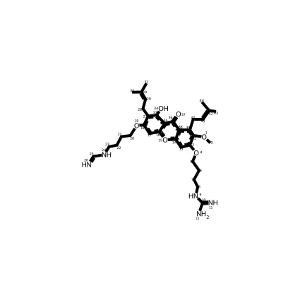 COc1c(OCCCCNC(=N)N)cc2oc3cc(OCCCCNC=N)c(CC=C(C)C)c(O)c3c(=O)c2c1CC=C(C)C